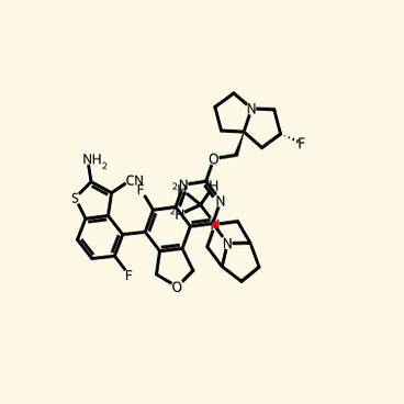 [2H]C([2H])([2H])N1CC2CCC(C1)N2c1nc(OC[C@@]23CCCN2C[C@H](F)C3)nc2c(F)c(-c3c(F)ccc4sc(N)c(C#N)c34)c3c(c12)COC3